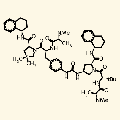 CN[C@@H](C)C(=O)N[C@@H](Cc1ccc(NC(=O)N[C@H]2C[C@@H](C(=O)N[C@@H]3CCCc4ccccc43)N(C(=O)[C@@H](NC(=O)[C@H](C)NC)C(C)(C)C)C2)cc1)C(=O)N1C[Si](C)(C)C[C@H]1C(=O)N[C@@H]1CCCc2ccccc21